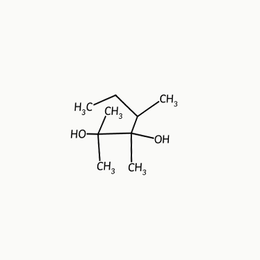 CCC(C)C(C)(O)C(C)(C)O